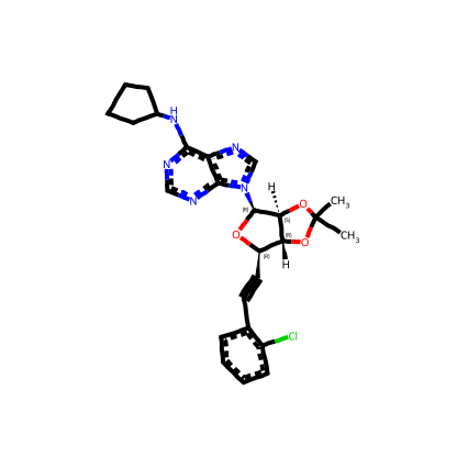 CC1(C)O[C@H]2[C@H](O1)[C@@H](C#Cc1ccccc1Cl)O[C@H]2n1cnc2c(NC3CCCC3)ncnc21